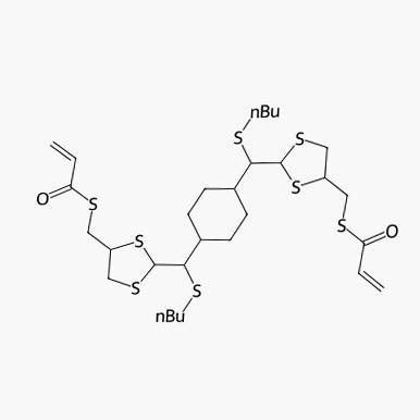 C=CC(=O)SCC1CSC(C(SCCCC)C2CCC(C(SCCCC)C3SCC(CSC(=O)C=C)S3)CC2)S1